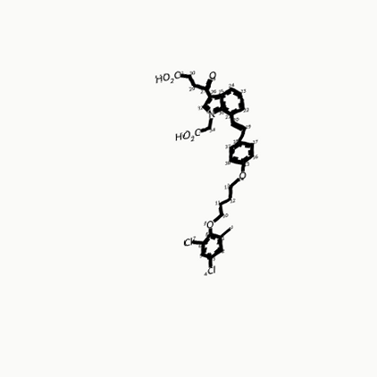 Cc1cc(Cl)cc(Cl)c1OCCCCOc1ccc(C=Cc2cccc3c(C(=O)CCC(=O)O)cn(CC(=O)O)c23)cc1